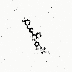 NS(=O)(=O)OC[C@H]1C[C@@H](Nc2ncncc2C(=O)c2cc(CN3CCCC(F)(F)C3)cs2)C[C@@H]1O